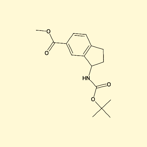 COC(=O)c1ccc2c(c1)C(NC(=O)OC(C)(C)C)CC2